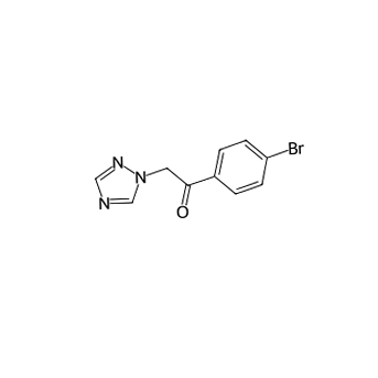 O=C(Cn1cncn1)c1ccc(Br)cc1